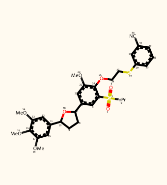 CCCS(=O)(=O)c1cc(C2CCC(c3cc(OC)c(OC)c(OC)c3)O2)cc(OC)c1OCCSc1cccc(C#N)c1